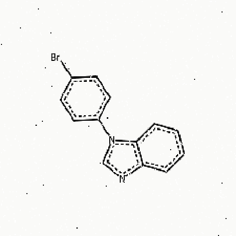 Brc1ccc(-n2[c]nc3ccccc32)cc1